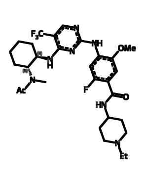 CCN1CCC(NC(=O)c2cc(OC)c(Nc3ncc(C(F)(F)F)c(N[C@@H]4CCCC[C@H]4N(C)C(C)=O)n3)cc2F)CC1